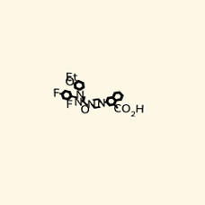 CCOc1cccc(-n2cc(C(=O)N3CCN(c4cc(C(=O)O)c5ccccc5c4)CC3)nc2-c2ccc(F)cc2F)c1